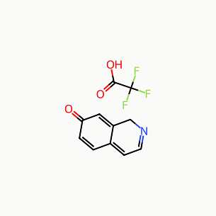 O=C(O)C(F)(F)F.O=C1C=CC2=CC=NCC2=C1